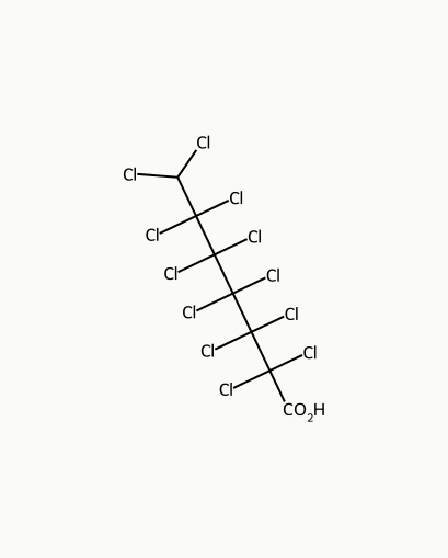 O=C(O)C(Cl)(Cl)C(Cl)(Cl)C(Cl)(Cl)C(Cl)(Cl)C(Cl)(Cl)C(Cl)Cl